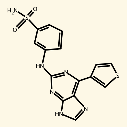 NS(=O)(=O)c1cccc(Nc2nc(-c3ccsc3)c3nc[nH]c3n2)c1